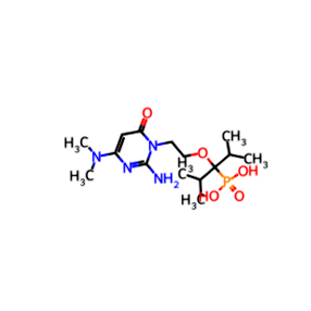 CC(C)C(OCCn1c(N)nc(N(C)C)cc1=O)(C(C)C)P(=O)(O)O